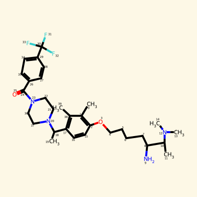 Cc1c(OCCCCC(N)C(C)N(C)C)ccc(C(C)N2CCN(C(=O)c3ccc(C(F)(F)F)cc3)CC2)c1C